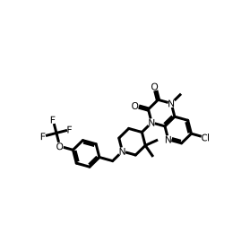 Cn1c(=O)c(=O)n(C2CCN(Cc3ccc(OC(F)(F)F)cc3)CC2(C)C)c2ncc(Cl)cc21